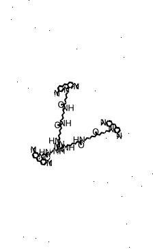 CN(C)c1ccc2cc3ccc(N(C)C)cc3[n+](CCCCCC(=O)CCCCCNC(=O)CCCCCNc3nc(NCCCCCC(=O)NCCCCCNC(=O)CCCCC[n+]4c5cc(N(C)C)ccc5cc5ccc(N(C)C)cc54)nc(NCCNC(=O)C[n+]4c5cc(N(C)C)ccc5cc5ccc(N(C)C)cc54)n3)c2c1